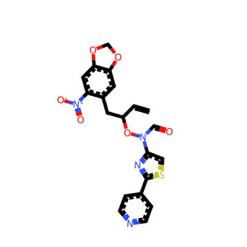 C=CC(Cc1cc2c(cc1[N+](=O)[O-])OCO2)ON(C=O)c1csc(-c2ccncc2)n1